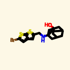 OC12CC3CC(C1)CC(NCc1cc4cc(Br)sc4s1)(C3)C2